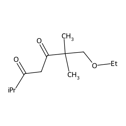 CCOCC(C)(C)C(=O)CC(=O)C(C)C